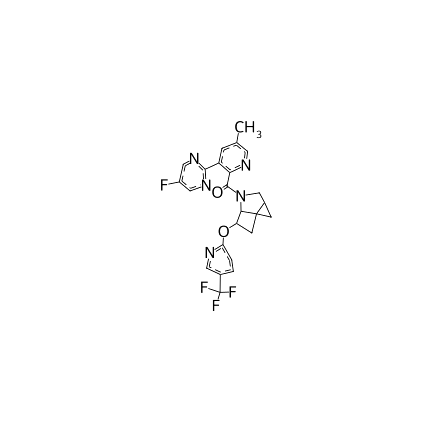 Cc1cnc(C(=O)N2CC3CC34CC(Oc3ccc(C(F)(F)F)cn3)C24)c(-c2ncc(F)cn2)c1